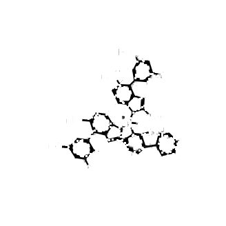 CCCc1ccc2c(c1-c1cc(C)cc(C)c1)C=C(C(C)(C)C)[CH]2[Zr]([Cl])([Cl])([c]1cccc2c1[SiH2]c1ccccc1-2)[CH]1C(C(C)(C)C)=Cc2c1ccc(CCC)c2-c1cc(C)cc(C)c1